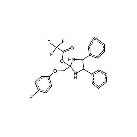 O=C(OC1(COc2ccc(F)cc2)NC(c2ccccc2)C(c2ccccc2)N1)C(F)(F)F